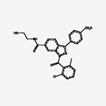 Cc1cccc(Cl)c1C(=O)n1nc(-c2ccc(C(=O)O)cc2)c2ccc(C(=O)NCCO)cc21